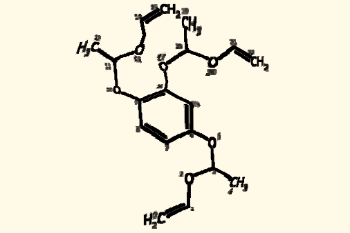 C=COC(C)Oc1ccc(OC(C)OC=C)c(OC(C)OC=C)c1